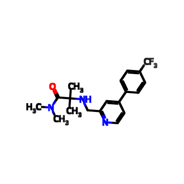 CN(C)C(=O)C(C)(C)NCc1cc(-c2ccc(C(F)(F)F)cc2)ccn1